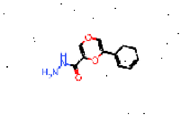 NNC(=O)C1=COC=C(C2=CC=CCC2)O1